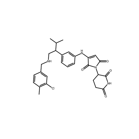 Cc1ccc(CNCC(c2cccc(NC3=CC(=O)N(C4CCC(=O)NC4=O)C3=O)c2)C(C)C)cc1Cl